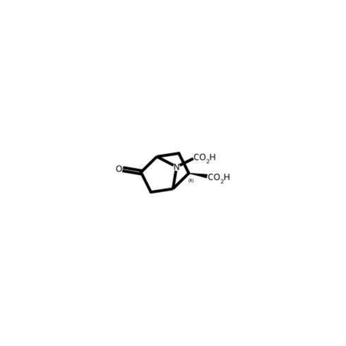 O=C1CC2[C@H](C(=O)O)CC1N2C(=O)O